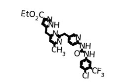 CCOC(=O)c1cc(Cc2cc(C)nc(Cc3ccc(NC(=O)Nc4ccc(Cl)c(C(F)(F)F)c4)nc3)n2)[nH]n1